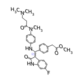 COC(=O)Cc1ccc(/C(Nc2ccc(N(C)C(=O)CCN(C)C)cc2)=C2/C(=O)Nc3cc(F)ccc32)cc1